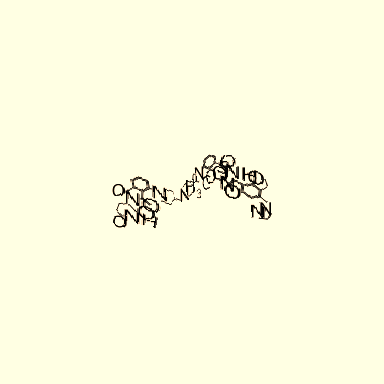 COc1c(N2CC3(CCN(CC4CCN(c5cccc6c5C(=O)N(C5CCC(=O)NC5=O)C6=O)CC4)CC3)C2)cccc1S(=O)(=O)Nc1noc2cc(Cn3cccn3)c3c(c12)OCC3